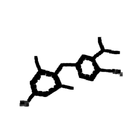 Cc1cc(O)cc(C)c1Cc1ccc(N)c(C(C)C)c1